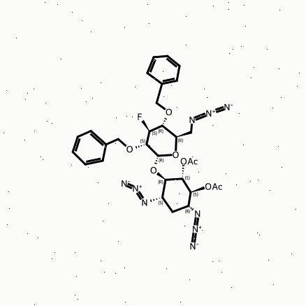 CC(=O)O[C@@H]1[C@@H](OC(C)=O)[C@H](N=[N+]=[N-])C[C@H](N=[N+]=[N-])[C@H]1O[C@H]1O[C@H](CN=[N+]=[N-])[C@@H](OCc2ccccc2)[C@H](F)[C@H]1OCc1ccccc1